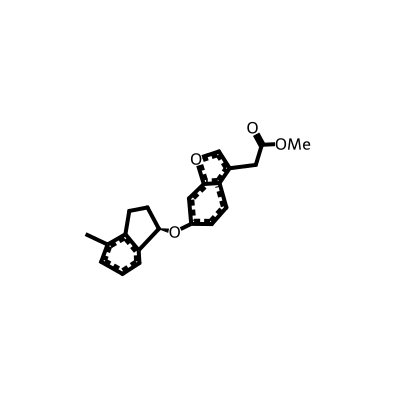 COC(=O)Cc1coc2cc(O[C@@H]3CCc4c(C)cccc43)ccc12